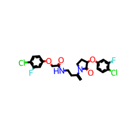 C=C(CCNC(=O)COc1ccc(Cl)c(F)c1)N1CCC(Oc2ccc(Cl)c(F)c2)C1=O